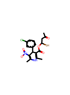 CC(=O)CC(S)OC(=O)C1=C(C)NC(C)=C([N+](=O)[O-])C1c1cccc(Cl)c1